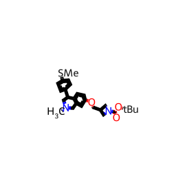 CSc1ccc(C2CN(C)Cc3cc(OCC4CN(C(=O)OC(C)(C)C)C4)ccc32)cc1